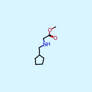 COC(=O)CNCC1CCCC1